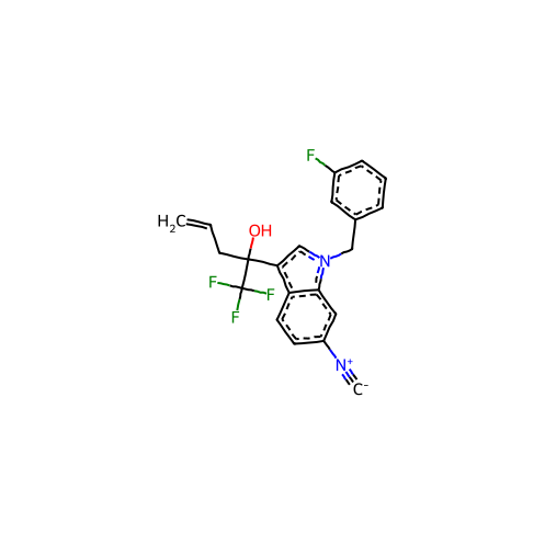 [C-]#[N+]c1ccc2c(C(O)(CC=C)C(F)(F)F)cn(Cc3cccc(F)c3)c2c1